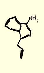 C=CCc1ccc(N)c2ccccc12